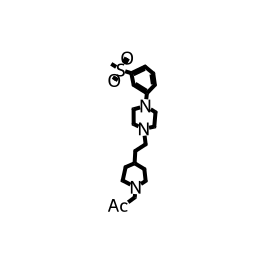 CC(=O)CN1CCC(CCN2CCN(c3cccc(S(C)(=O)=O)c3)CC2)CC1